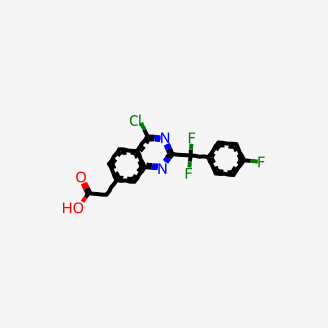 O=C(O)Cc1ccc2c(Cl)nc(C(F)(F)c3ccc(F)cc3)nc2c1